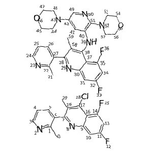 Cc1ncccc1-c1nc2cc(F)cc(F)c2c(Cl)c1C.Cc1ncccc1-c1nc2cc(F)cc(F)c2c(Nc2cc(N3CCOCC3)cnc2N2CCOCC2)c1C